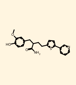 COc1cc(CC(CCc2ccc(-c3cccnc3)s2)C(N)=O)ccc1O